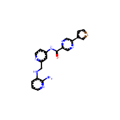 Nc1ncccc1NCc1cc(NC(=O)c2cnc(-c3ccsc3)cn2)ccn1